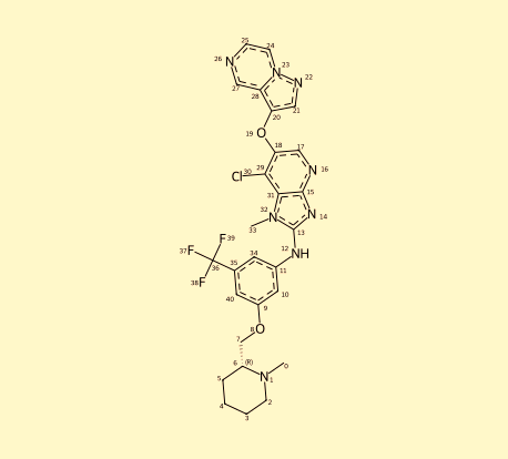 CN1CCCC[C@@H]1COc1cc(Nc2nc3ncc(Oc4cnn5ccncc45)c(Cl)c3n2C)cc(C(F)(F)F)c1